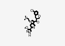 COc1n[nH]cc1-c1cc2c(cn1)c(C(=O)C1COc3ccc(Cl)cc3C1)cn2CCN(C)C